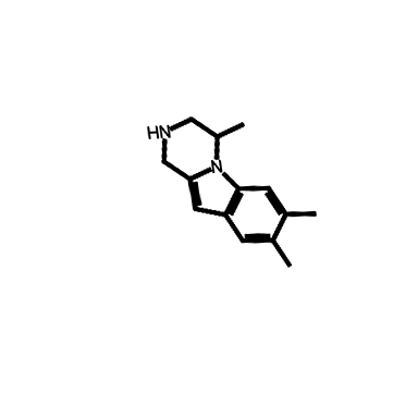 Cc1cc2cc3n(c2cc1C)C(C)CNC3